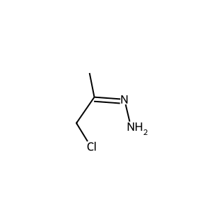 CC(CCl)=NN